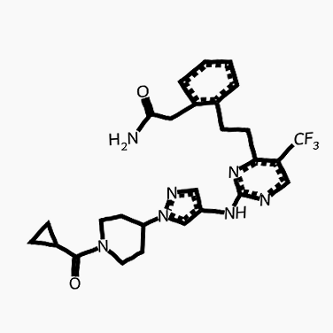 NC(=O)Cc1ccccc1CCc1nc(Nc2cnn(C3CCN(C(=O)C4CC4)CC3)c2)ncc1C(F)(F)F